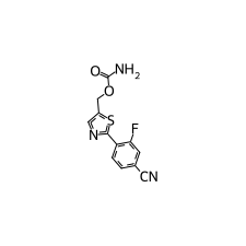 N#Cc1ccc(-c2ncc(COC(N)=O)s2)c(F)c1